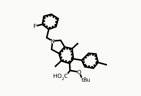 Cc1ccc(-c2c(C)c3c(c(C)c2C(OC(C)(C)C)C(=O)O)CN(Cc2ccccc2F)C3)cc1